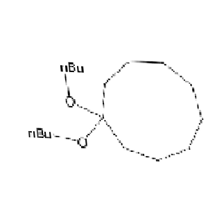 CCCCOC1(OCCCC)CCCCCCCC1